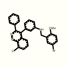 COc1ccc(Br)cc1CNc1cccc(-c2c(-c3ccccc3)nnc3c(Cl)cccc23)c1